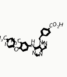 Cc1ccc(Oc2ccc(Nc3ncnc4cnn(Cc5ccc(C(=O)O)cc5)c34)cc2C)cn1